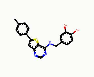 Cc1ccc(-c2cc3ncnc(NCc4ccc(O)c(O)c4)c3s2)cc1